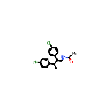 CC(c1ccc(Cl)cc1)C(CNC(=O)C(C)(C)C)c1ccc(Cl)cc1